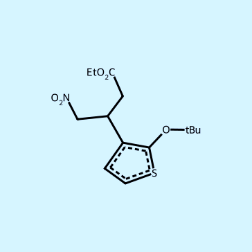 CCOC(=O)CC(C[N+](=O)[O-])c1ccsc1OC(C)(C)C